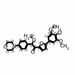 COc1cc(-c2ccc(C(=O)C(OC)c3ccc(N4CCOCC4)cc3)o2)cc(OC)c1Cl